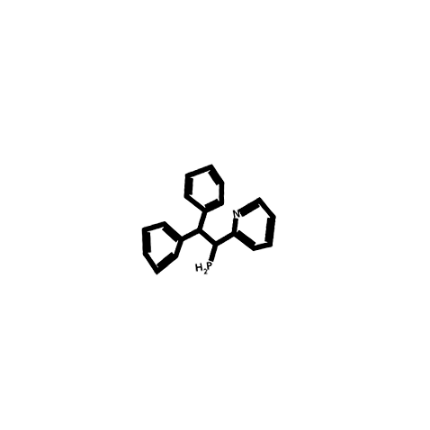 PC(c1ccccn1)C(c1ccccc1)c1ccccc1